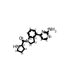 Nc1nccc(-c2cccc3c2CCN3C(=O)C2CCCN2)n1